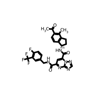 CC(=O)c1ccc2c(c1C)CC[C@@H]2NC(=O)c1cc(C(=O)NCc2ccc(F)c(C(F)(F)F)c2)nc2ncnn12